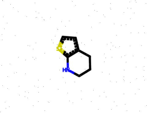 c1cc2c(s1)NCCC2